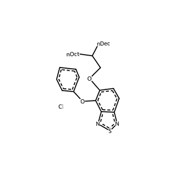 CCCCCCCCCCC(CCCCCCCC)COc1ccc2nsnc2c1Oc1ccccc1.[C]